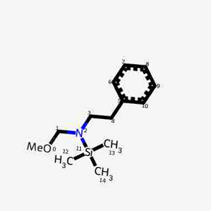 COCN(CCc1ccccc1)[Si](C)(C)C